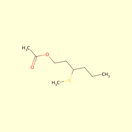 CCCC(CCOC(C)=O)SC